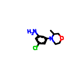 CC1COCCN1c1cc(N)cc(Cl)c1